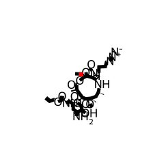 C=CCOC(=O)NCC1CC(N)C(O)[C@H](O[C@@H]2[C@@H](C)C(=O)[C@@H](C)C(=O)O[C@H](CC)[C@@]3(C)OC(=O)N(CCCCN=[N+]=[N-])[C@@H]3[C@@H](C)NC[C@H](C)C[C@@]2(C)OC)O1